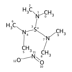 CN(C)[S+](N(C)C)N(C)C.O=N[O-]